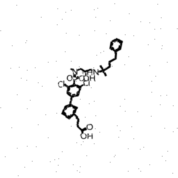 CN(C[C@H](O)CNC(C)(C)CCCc1ccccc1)S(=O)(=O)c1c(Cl)cc(-c2cccc(CCC(=O)O)c2)cc1Cl